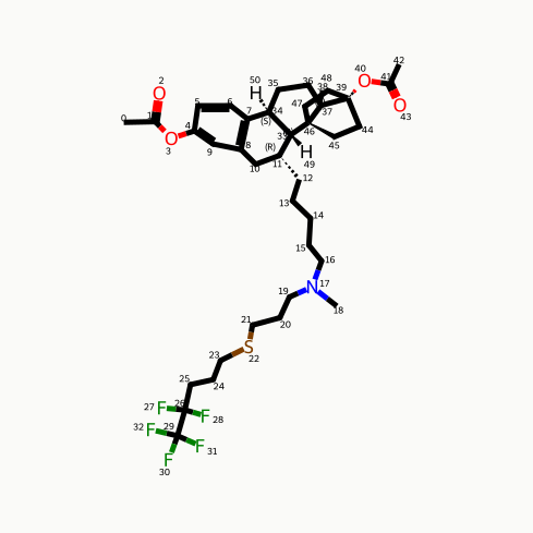 CC(=O)Oc1ccc2c(c1)C[C@@H](CCCCCN(C)CCCSCCCC(F)(F)C(F)(F)F)[C@@H]1[C@@H]2CC[C@]2(C)[C@]3(OC(C)=O)CC[C@]12CC3